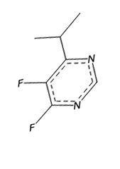 CC(C)c1ncnc(F)c1F